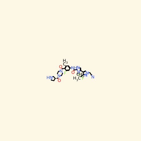 Cc1cc(NC(=O)c2ncc(-c3cn(CC#N)nc3C(C)(F)F)n2C)cc(F)c1C(=O)N1CCN(C(=O)[C@H]2CCNC2)CC1